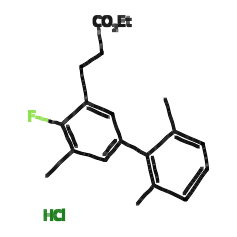 CCOC(=O)CCc1cc(-c2c(C)cccc2C)cc(C)c1F.Cl